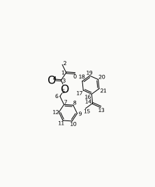 C=C(C)C(=O)OCc1ccccc1.C=C(C)c1ccccc1